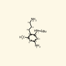 CCCCNc1nc(N)nc(C)c1CCCN